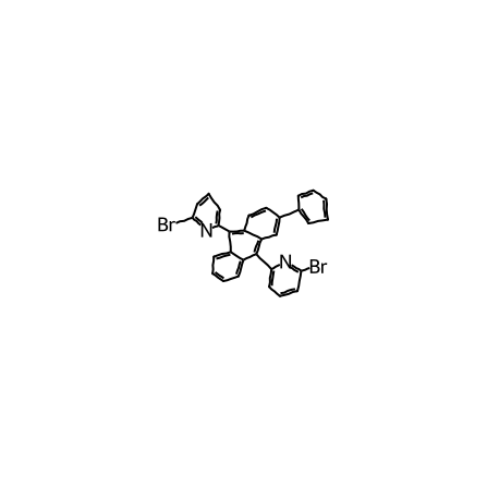 Brc1cccc(-c2c3ccccc3c(-c3cccc(Br)n3)c3cc(-c4ccccc4)ccc23)n1